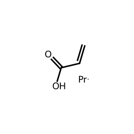 C=CC(=O)O.[Pr]